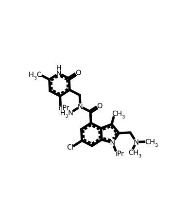 CCCc1cc(C)[nH]c(=O)c1CN(N)C(=O)c1cc(Cl)cc2c1c(C)c(CN(C)C)n2C(C)C